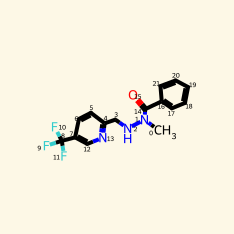 CN(NCc1ccc(C(F)(F)F)cn1)C(=O)c1ccccc1